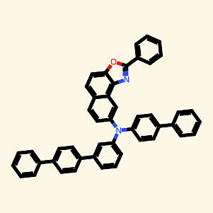 c1ccc(-c2ccc(-c3cccc(N(c4ccc(-c5ccccc5)cc4)c4ccc5ccc6oc(-c7ccccc7)nc6c5c4)c3)cc2)cc1